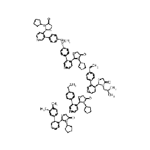 C=Cc1ccc(-c2cnccc2C2SCC(=O)N2CC(C)C)cc1.CCc1ccc(-c2cnccc2C2SCC(=O)N2C2CCCC2)cc1.CSc1ccc(-c2cnccc2C2SCC(=O)N2C2CCCC2)cc1.Cc1ccc(-c2cnccc2C2SCC(=O)N2C2CCCC2)cc1C.O=C1CSC(c2ccncc2-c2ccc(Br)cc2)N1C1CCCC1